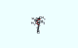 Cc1cc(C)c(-c2c(-c3c(C)cc(OCCOCCOCCl)cc3C)c2=O)c(C)c1